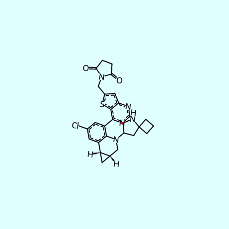 O=C1CCC(=O)N1Cc1cc2ncnc(-c3cc(Cl)cc4c3N(C3CNC5(CCC5)C3)C[C@@H]3C[C@H]43)c2s1